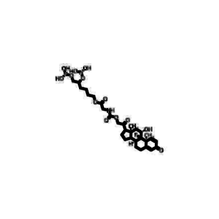 C[C@]12C[C@H](O)C3(F)[C@@H](CCC4=CC(=O)C=C[C@@]43C)C1CCC2C(=O)COC(=O)NCC(=O)OCCCCC(CON(O)O)ON(O)O